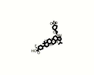 CC(C)[C@@H]1CC[C@]2(NCC[C@]3(O)CC[C@H](S(C)(=O)=O)CC3)CC[C@]3(C)[C@H](CC[C@@H]4[C@@]5(C)CC=C(C6=CC[C@](CF)(C(=O)O)CC6)C(C)(C)[C@@H]5CC[C@]43C)[C@@H]12